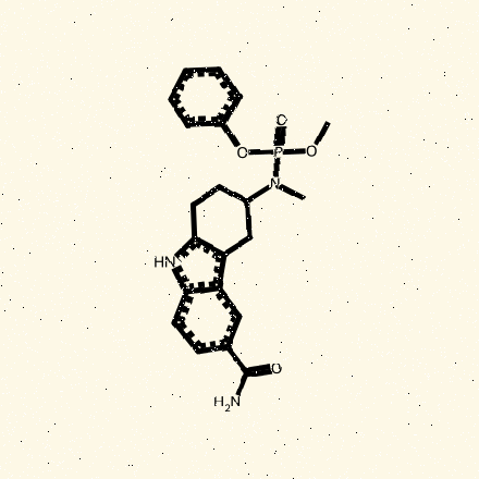 COP(=O)(Oc1ccccc1)N(C)C1CCc2[nH]c3ccc(C(N)=O)cc3c2C1